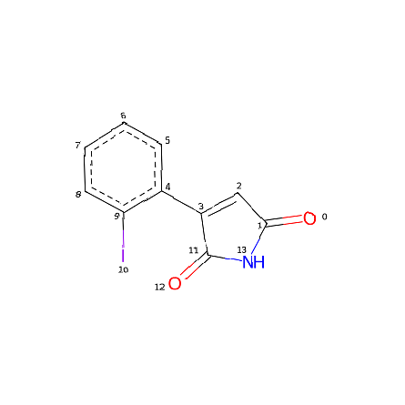 O=C1C=C(c2ccccc2I)C(=O)N1